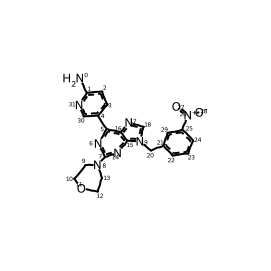 Nc1ccc(-c2nc(N3CCOCC3)nc3c2ncn3Cc2cccc([N+](=O)[O-])c2)cn1